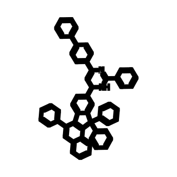 C1=C(c2ccc(-c3ccccc3)cc2)N=C(c2ccccc2)NC1c1ccc2c(c1)C(c1ccccc1)(c1ccccc1)c1c-2c(-c2ccccc2)cc2ccccc12